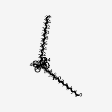 CCCCCC=CCC=CCCCCCCCCC(CCCCCCCCC=CCC=CCCCCC)(C(=O)OC)C(=O)OC